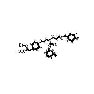 CCOC(Cc1ccc(OCCN(CCCOCc2ccc(F)cc2)C(=O)Oc2ccc(F)c(F)c2)cc1)C(=O)O